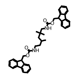 CC(CCNC(=O)OCC1c2ccccc2-c2ccccc21)CC(C)(C)CNC(=O)OCC1c2ccccc2-c2ccccc21